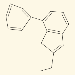 CCC1=Cc2cccc(-c3ccccc3)c2C1